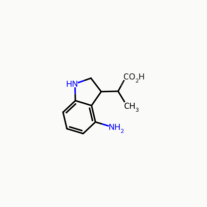 CC(C(=O)O)C1CNc2cccc(N)c21